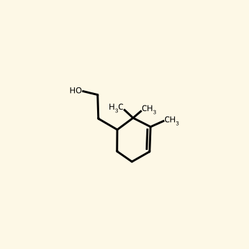 CC1=CCCC(CCO)C1(C)C